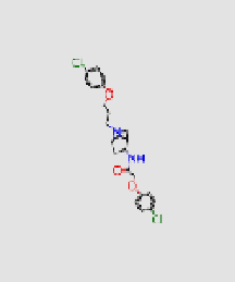 O=C(COc1ccc(Cl)cc1)NC1CC2CC1CN2CCCOc1ccc(Cl)cc1